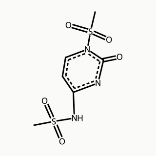 CS(=O)(=O)Nc1ccn(S(C)(=O)=O)c(=O)n1